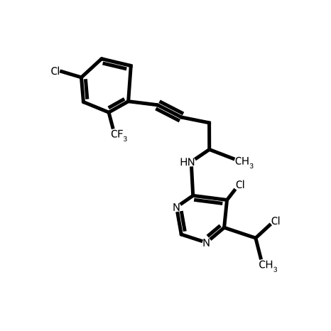 CC(CC#Cc1ccc(Cl)cc1C(F)(F)F)Nc1ncnc(C(C)Cl)c1Cl